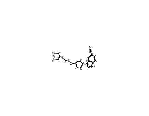 N#Cc1ccc2ncn(-c3ccc(OCCOC4CCOCC4)cc3)c2c1